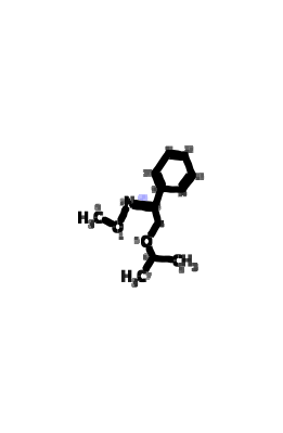 CO/N=C(\COC(C)C)c1ccccc1